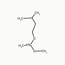 CO[SiH](C)OCCC(C)C